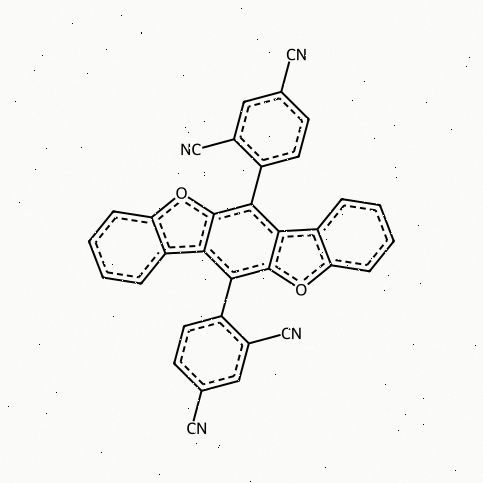 N#Cc1ccc(-c2c3oc4ccccc4c3c(-c3ccc(C#N)cc3C#N)c3oc4ccccc4c23)c(C#N)c1